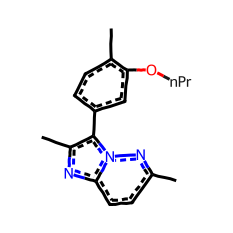 CCCOc1cc(-c2c(C)nc3ccc(C)nn23)ccc1C